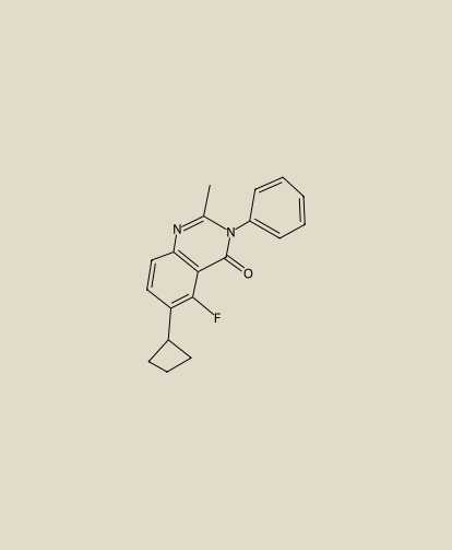 Cc1nc2ccc(C3CCC3)c(F)c2c(=O)n1-c1ccccc1